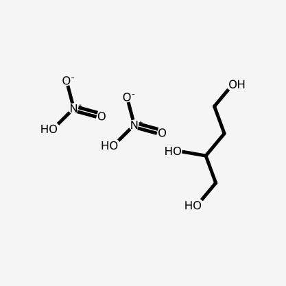 O=[N+]([O-])O.O=[N+]([O-])O.OCCC(O)CO